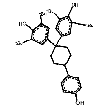 CC(C)(C)c1cc(C2(c3cc(C(C)(C)C)c(O)c(C(C)(C)C)c3)CCC(c3ccc(O)cc3)CC2)cc(C(C)(C)C)c1O